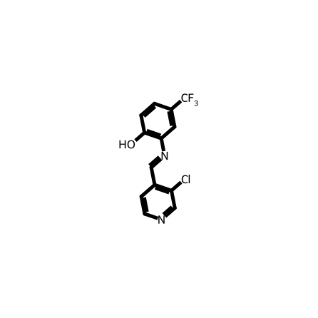 Oc1ccc(C(F)(F)F)cc1/N=C/c1ccncc1Cl